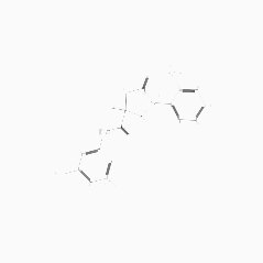 CCC1(C(=O)Nc2cc(C(F)(F)F)cc(C(F)(F)F)c2)CC(=O)N(c2ccccc2OC)C1